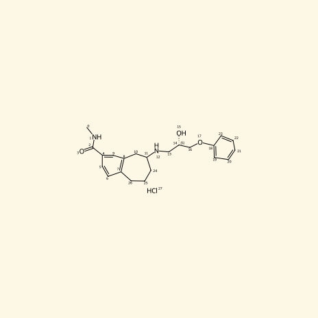 CNC(=O)c1ccc2c(c1)CC(NC[C@H](O)COc1ccccc1)CCC2.Cl